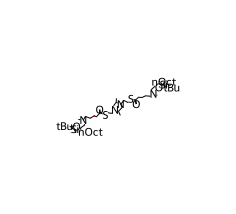 CCCCCCCCC(CN(C)CCCCC(=O)SCCN1CC(C)N(CCSC(=O)CCCCN(C)CC(CCCCCCCC)O[Si](C)(C)C(C)(C)C)CC1C)O[Si](C)(C)C(C)(C)C